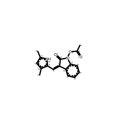 CC(=O)ON1C(=O)/C(=C\c2[nH]c(C)cc2C)c2ccccc21